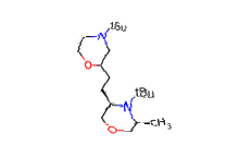 C[C@H]1COC[C@@H](CCC2CN(C(C)(C)C)CCO2)N1C(C)(C)C